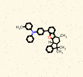 Cc1cccc(N(c2ccccc2)c2ccc(-c3cccc4c5c(oc34)[C@H]3c4ccccc4C(C)(C)C3C[C@H]5C)cc2)c1